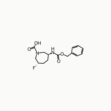 O=C(N[C@H]1CC[C@H](F)CN(C(=O)O)C1)OCc1ccccc1